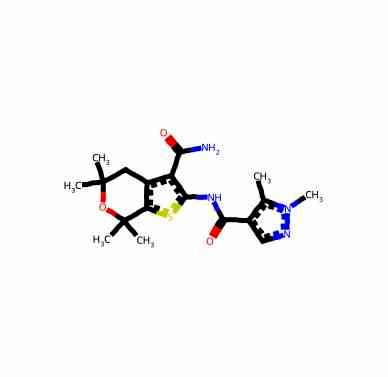 Cc1c(C(=O)Nc2sc3c(c2C(N)=O)CC(C)(C)OC3(C)C)cnn1C